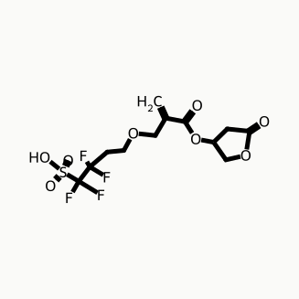 C=C(COCCC(F)(F)C(F)(F)S(=O)(=O)O)C(=O)OC1COC(=O)C1